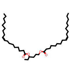 CCCCCCCC/C=C\CCCCCCCC(=O)OCCCC(CC)OC(=O)CCCCCCC/C=C\CCCCCCCC